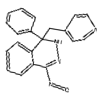 O=NC1=NNC(Cc2ccncc2)(c2ccccc2)c2ccccc21